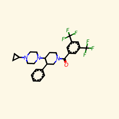 O=C(c1cc(C(F)(F)F)cc(C(F)(F)F)c1)N1CCC(N2CCN(C3CC3)CC2)C(c2ccccc2)C1